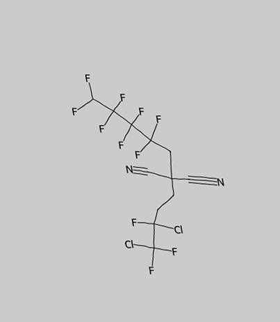 N#CC(C#N)(CCC(F)(Cl)C(F)(F)Cl)CC(F)(F)C(F)(F)C(F)(F)C(F)F